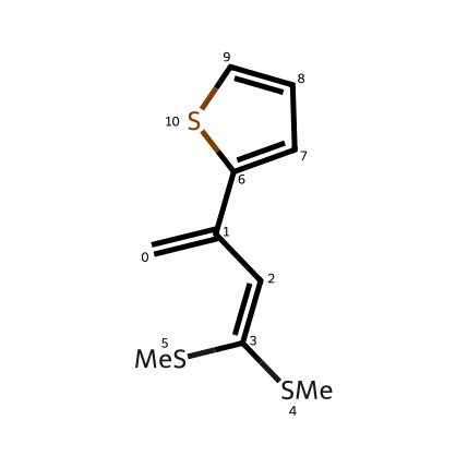 C=C(C=C(SC)SC)c1cccs1